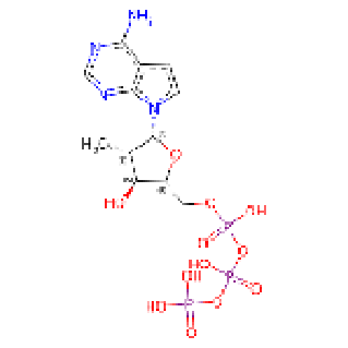 C[C@H]1[C@H](O)[C@@H](COP(=O)(O)OP(=O)(O)OP(=O)(O)O)O[C@H]1n1ccc2c(N)ncnc21